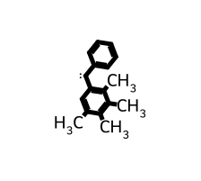 Cc1cc([C]c2ccccc2)c(C)c(C)c1C